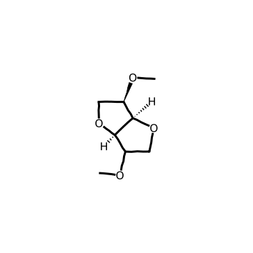 COC1CO[C@H]2[C@@H]1OC[C@H]2OC